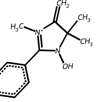 C=C1[N+](C)=C(c2ccccc2)N(O)C1(C)C